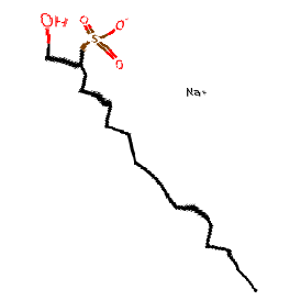 CCCCCCCCCCCCC(CO)S(=O)(=O)[O-].[Na+]